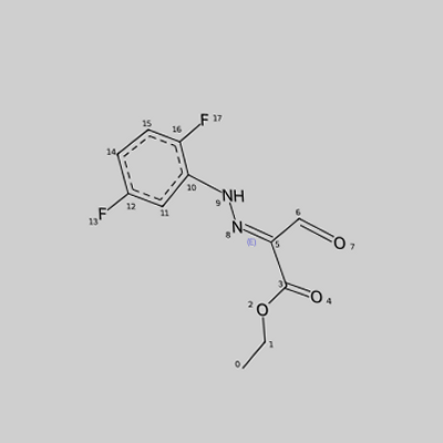 CCOC(=O)/C(C=O)=N/Nc1cc(F)ccc1F